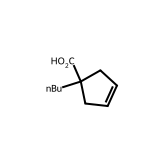 CCCCC1(C(=O)O)CC=CC1